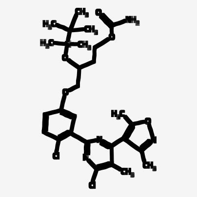 Cc1noc(C)c1-c1nc(-c2cc(OCC(CCOC(N)=O)O[Si](C)(C)C(C)(C)C)ccc2Cl)nc(Cl)c1C